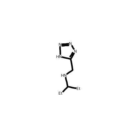 CCC(CC)NCc1nnn[nH]1